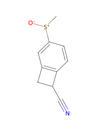 C[S+]([O-])c1ccc2c(c1)CC2C#N